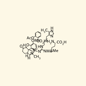 CC(=O)Oc1ccccc1C(=O)O.CN/C(=N/C#N)NCCSCc1nc[nH]c1C.COc1ccc2c3c1O[C@H]1C(=O)CC[C@H]4[C@@H](C2)N(C)CC[C@]314.CSCC[C@H](N)C(=O)O